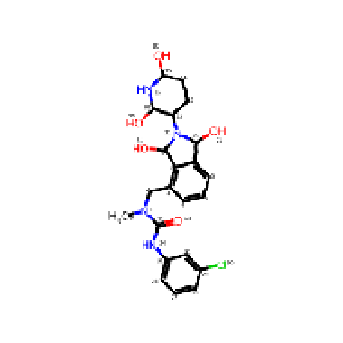 CN(Cc1cccc2c1C(O)N(C1CCC(O)NC1O)C2O)C(=O)Nc1cccc(Cl)c1